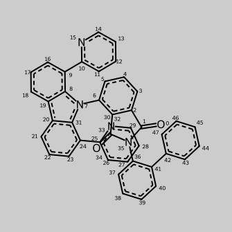 O=C1c2cccc(-n3c4c(-c5ccccn5)cccc4c4cccc(-c5ccccn5)c43)c2C(=O)N1c1ccccc1-c1ccccc1